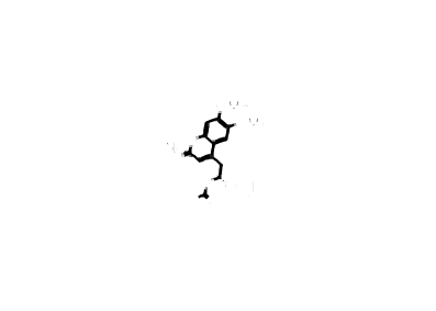 CCOC(=O)[C@H](Cc1cc(=O)oc2cc(OC)c(OC)cc12)OC(=O)C(F)(F)F.N